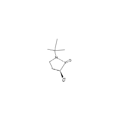 CC(C)(C)N1CC[C@H](Cl)C1=O